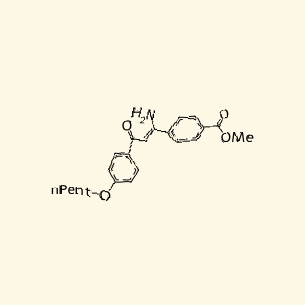 CCCCCOc1ccc(C(=O)C=C(N)c2ccc(C(=O)OC)cc2)cc1